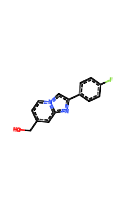 OCc1ccn2cc(-c3ccc(F)cc3)nc2c1